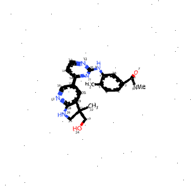 CNC(=O)c1ccc(C)c(Nc2nccc(-c3cnc4c(c3)C(C)(CO)CN4)n2)c1